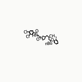 CCCCC(CC(C)CC1CCN(C(=O)CNC(=O)c2ccc(Cl)c(Cl)c2)C1)Oc1ccccc1